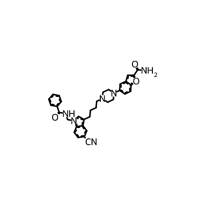 N#Cc1ccc2c(c1)c(CCCCN1CCN(c3ccc4oc(C(N)=O)cc4c3)CC1)cn2CNC(=O)c1ccccc1